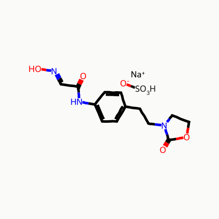 O=C(/C=N/O)Nc1ccc(CCN2CCOC2=O)cc1.O=S(=O)([O-])O.[Na+]